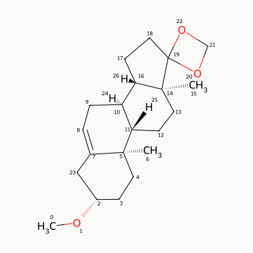 CO[C@H]1CC[C@@]2(C)C(=CC[C@@H]3[C@@H]2CC[C@@]2(C)[C@H]3CCC23OCO3)C1